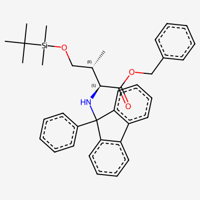 C[C@@H](CO[Si](C)(C)C(C)(C)C)[C@H](NC1(c2ccccc2)c2ccccc2-c2ccccc21)C(=O)OCc1ccccc1